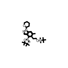 Cc1cc2c(cnn2C2CCCCO2)c(B2OC(C)(C)C(C)(C)O2)c1CCO[Si](C)(C)C(C)(C)C